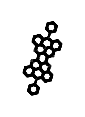 c1ccc(-n2c3cccc4oc5c6oc7cccc8c7p7c6c(oc6cccc(c67)n8-c6ccccc6)c6oc7cccc2c7p(c56)c43)cc1